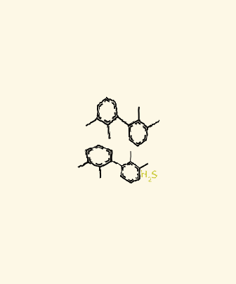 Cc1cccc(-c2cccc(C)c2C)c1C.Cc1cccc(-c2cccc(C)c2C)c1C.S